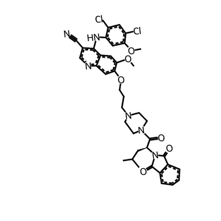 COc1cc(Nc2c(C#N)cnc3cc(OCCCN4CCN(C(=O)[C@H](CC(C)C)N5C(=O)c6ccccc6C5=O)CC4)c(OC)cc23)c(Cl)cc1Cl